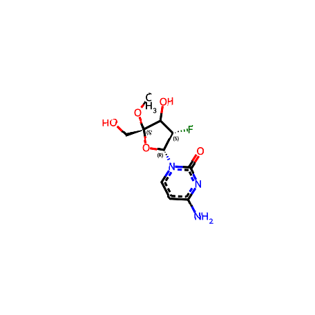 CO[C@@]1(CO)O[C@@H](n2ccc(N)nc2=O)[C@@H](F)C1O